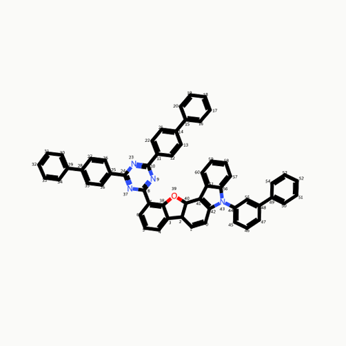 C1=CC2c3cccc(-c4nc(-c5ccc(-c6ccccc6)cc5)nc(-c5ccc(-c6ccccc6)cc5)n4)c3OC2c2c1n(-c1cccc(-c3ccccc3)c1)c1ccccc21